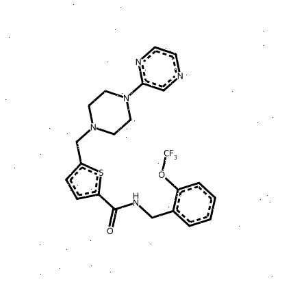 O=C(NCc1ccccc1OC(F)(F)F)c1ccc(CN2CCN(c3cnccn3)CC2)s1